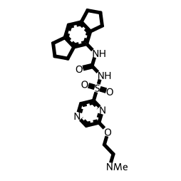 CNCCOc1cncc(S(=O)(=O)NC(=O)Nc2c3c(cc4c2CCC4)CCC3)n1